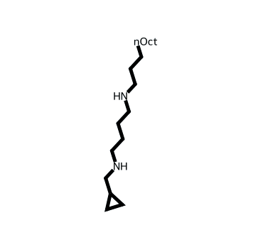 CCCCCCCCCCCNCCCCNCC1CC1